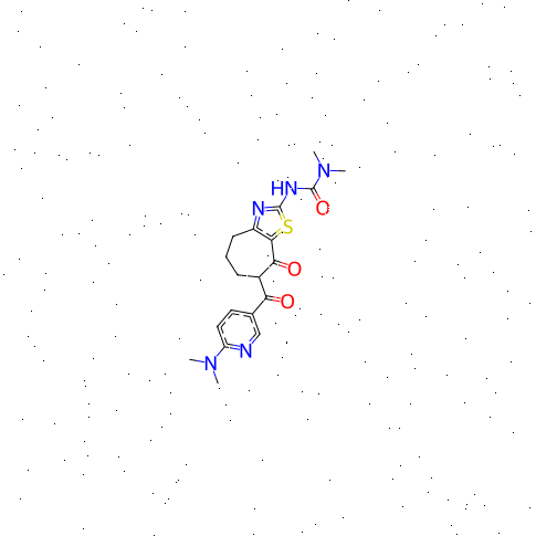 CN(C)C(=O)Nc1nc2c(s1)C(=O)C(C(=O)c1ccc(N(C)C)nc1)CCC2